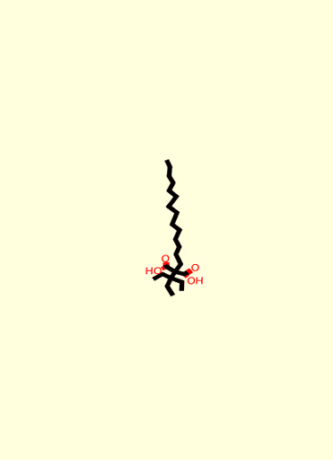 CCCCCCCCCCCCCCC(C(=O)O)(C(=O)O)C(CC)(CC)CC